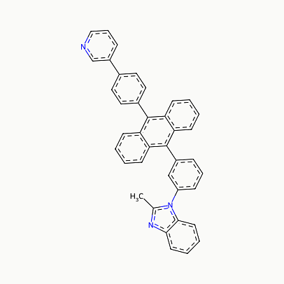 Cc1nc2ccccc2n1-c1cccc(-c2c3ccccc3c(-c3ccc(-c4cccnc4)cc3)c3ccccc23)c1